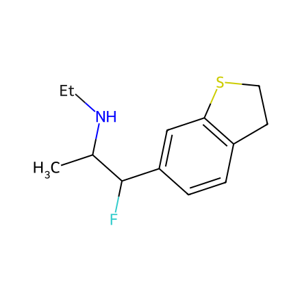 CCNC(C)C(F)c1ccc2c(c1)SCC2